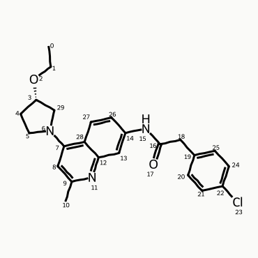 CCO[C@H]1CCN(c2cc(C)nc3cc(NC(=O)Cc4ccc(Cl)cc4)ccc23)C1